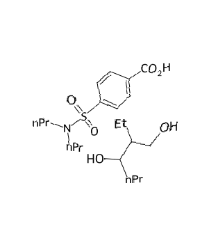 CCCC(O)C(CC)CO.CCCN(CCC)S(=O)(=O)c1ccc(C(=O)O)cc1